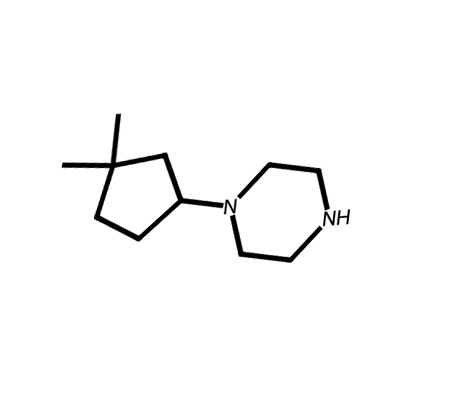 CC1(C)CCC(N2CCNCC2)C1